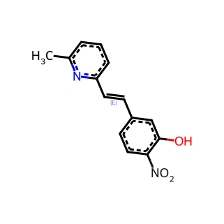 Cc1cccc(/C=C/c2ccc([N+](=O)[O-])c(O)c2)n1